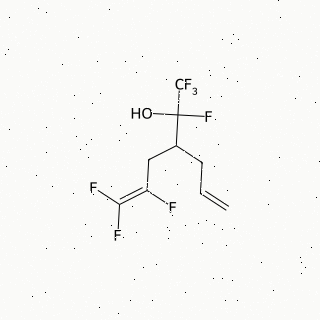 C=CCC(CC(F)=C(F)F)C(O)(F)C(F)(F)F